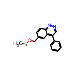 CSOCc1ccc2nncc(-c3ccccc3)c2c1